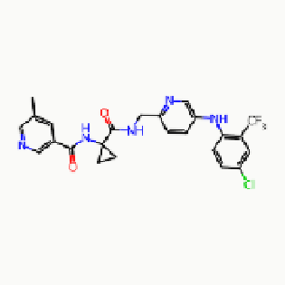 Cc1cncc(C(=O)NC2(C(=O)NCc3ccc(Nc4ccc(Cl)cc4C(F)(F)F)cn3)CC2)c1